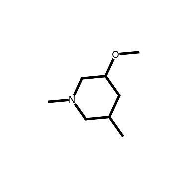 COC1CC(C)CN(C)C1